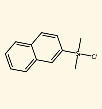 C[Si](C)(Cl)c1ccc2ccccc2c1